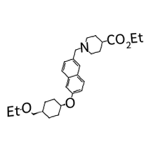 CCOC[C@H]1CC[C@@H](Oc2ccc3cc(CN4CCC(C(=O)OCC)CC4)ccc3c2)CC1